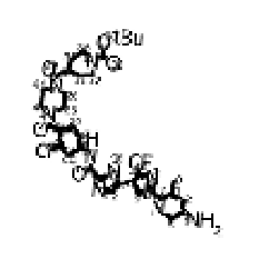 Cc1cc(N)cnc1-n1cc(-c2cnc(C(=O)Nc3ccc(C(=O)N4CCN(C(=O)C5CCN(C(=O)OC(C)(C)C)CC5)CC4)c(Cl)c3)n2C)c(C(F)(F)F)n1